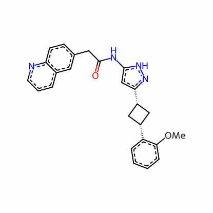 COc1ccccc1[C@H]1C[C@@H](c2cc(NC(=O)Cc3ccc4ncccc4c3)[nH]n2)C1